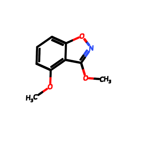 COc1cccc2onc(OC)c12